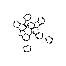 C1=C(c2ccccc2)C=C(N(c2ccc(-c3ccccc3)cc2)c2cccc3c2sc2ccccc23)C2c3cc(-c4ccccc4)c4ccccc4c3OC12